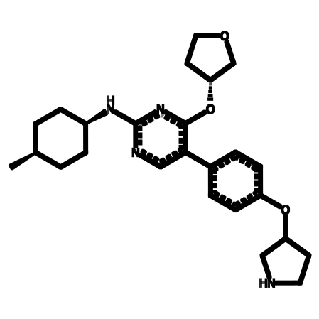 C[C@H]1CC[C@@H](Nc2ncc(-c3ccc(OC4CCNC4)cc3)c(O[C@@H]3CCOC3)n2)CC1